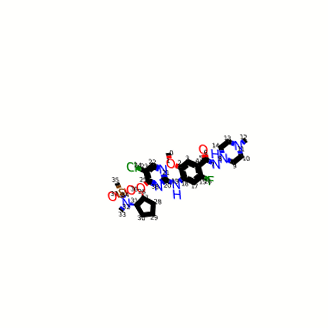 COc1cc(C(=O)NN2CCN(C)CC2)c(F)cc1Nc1ncc(Cl)c(O[C@@H]2CCC[C@H]2N(C)S(C)(=O)=O)n1